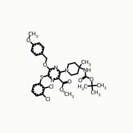 COC(=O)c1nc(Sc2cccc(Cl)c2Cl)c(OCc2ccc(OC)cc2)nc1N1CCC(C)(NC(=O)OC(C)(C)C)CC1